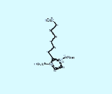 CCCCCCCCCCCCCCCCc1n(CCCCCCCC)cc[n+]1CCCCCCCCC